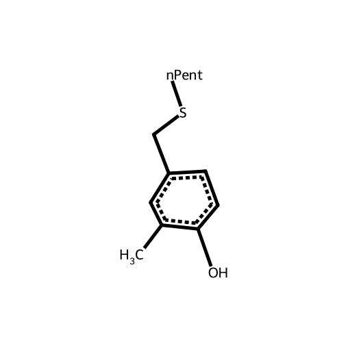 CCCCCSCc1ccc(O)c(C)c1